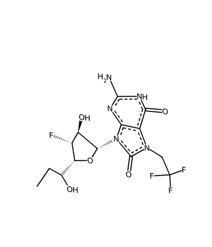 CCC(O)[C@H]1O[C@@H](n2c(=O)n(CC(F)(F)F)c3c(=O)[nH]c(N)nc32)[C@H](O)[C@H]1F